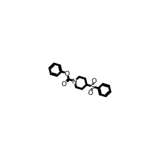 O=C(Oc1ccccc1)N1CCC(S(=O)(=O)c2ccccc2)CC1